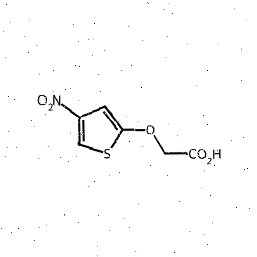 O=C(O)COc1cc([N+](=O)[O-])cs1